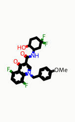 COc1ccc(Cn2cc(C(=O)NC3CC(F)(F)CCC3O)c(=O)c3c(F)ccc(F)c32)cc1